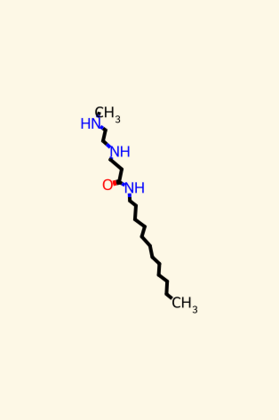 CCCCCCCCCCCCNC(=O)CCNCCNC